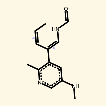 C/C=C\C(=C/NC=O)c1cc(NC)cnc1C